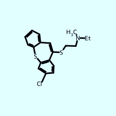 CCN(C)CCSC1=Cc2ccccc2Sc2cc(Cl)ccc21